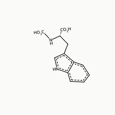 O=C(O)N[C@@H](Cc1c[nH]c2ccccc12)C(=O)O